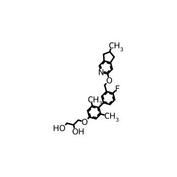 Cc1cc(OCC(O)CO)cc(C)c1-c1ccc(F)c(COc2cc3c(cn2)CC(C)C3)c1